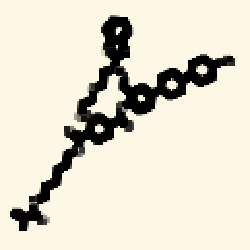 C=C(C)C(=O)OCCCCCCOC(=O)C1CCC(C(=O)Oc2ccc(C3CCC(C4CCC(CCC)CC4)CC3)cc2/C=N/N(CCOCCOC)c2nc3ccccc3s2)CC1